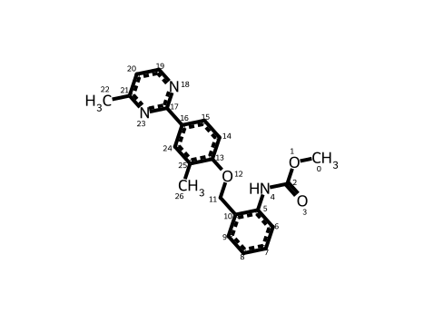 COC(=O)Nc1ccccc1COc1ccc(-c2nccc(C)n2)cc1C